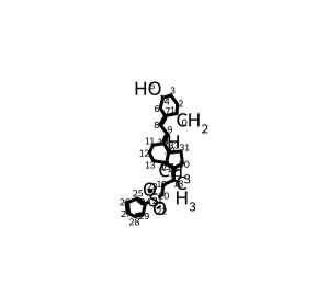 C=C1CC[C@H](O)C/C1=C/C=C1\CCC[C@]2(C)C([C@@H](C)CCS(=O)(=O)c3ccccc3)CC[C@@H]12